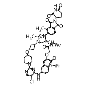 CNC(=O)COc1cc2cc(Nc3nc(N4CCC(OC5CC(N6C[C@@H](C)N(c7ccc8c(c7C)C(=O)N(C7CCC(=O)NC7=O)C8=O)C[C@@H]6C)C5)CC4)ncc3Cl)ccc2n(C(C)C)c1=O